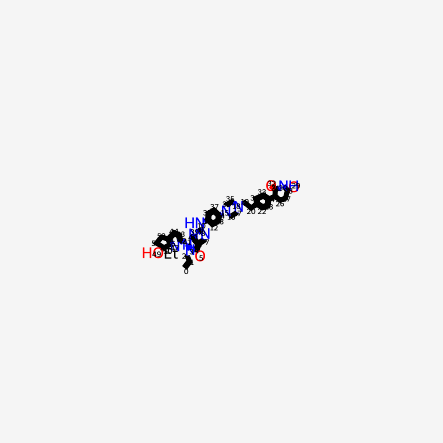 C=CCn1c(=O)c2cnc(Nc3ccc(N4CCN(CCc5ccc(C6CCC(=O)NC6=O)cc5)CC4)cc3)nc2n1-c1ccc2c(n1)[C@@](O)(CC)CC2